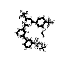 CCOc1cc(-c2cc(C(F)(F)F)nc(-c3ccnc(-c4cccc(S(=O)(=O)NC(C)(C)C)c4)c3)n2)ccc1C(F)(F)F